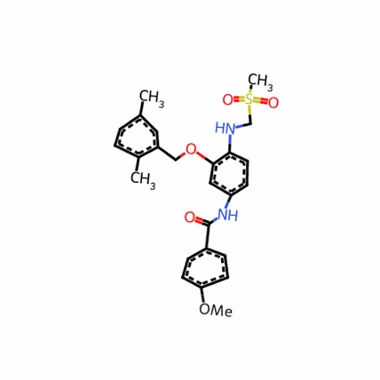 COc1ccc(C(=O)Nc2ccc(NCS(C)(=O)=O)c(OCc3cc(C)ccc3C)c2)cc1